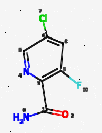 NC(=O)c1ncc(Cl)cc1F